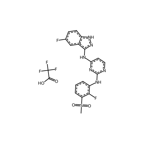 CS(=O)(=O)c1cccc(Nc2nccc(Nc3n[nH]c4ccc(F)cc34)n2)c1F.O=C(O)C(F)(F)F